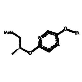 CCOc1ccc(O[C@H](C)CNC)nc1